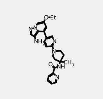 CCOc1cc(-c2ccc(N3CCC(C)(NC(=O)c4ccccn4)CC3)nc2)c2c(N)cnn2c1